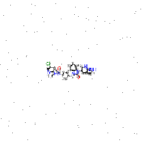 Cc1ncc(Cl)cc1C(=O)N[C@H]1CC[C@H](Cn2c(=O)n(-c3cnc4[nH]ccc4c3)c3ccccc32)CC1